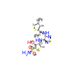 CC(C)c1csc([C@H](Nc2nsnc2Nc2csc(S(N)(=O)=O)c2O)C(C)C)c1